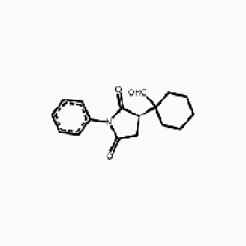 O=CC1([C@H]2CC(=O)N(c3ccccc3)C2=O)CCCCC1